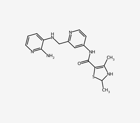 CC1=C(C(=O)Nc2ccnc(CNc3cccnc3N)c2)SC(C)N1